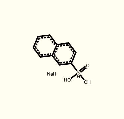 O=[SH](O)(O)c1ccc2ccccc2c1.[NaH]